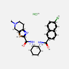 CN1CCc2nc(C(=O)N[C@H]3CCCC[C@H]3NC(=O)c3ccc4cc(Br)ccc4c3)sc2C1.Cl